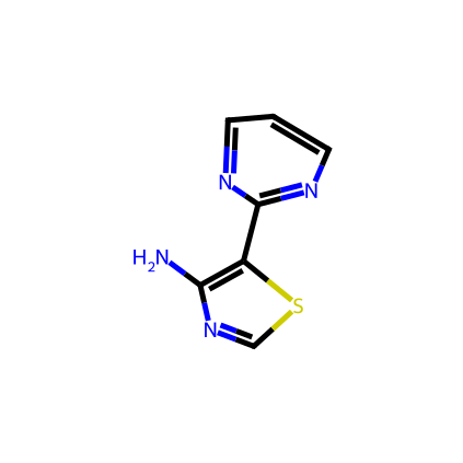 Nc1ncsc1-c1ncccn1